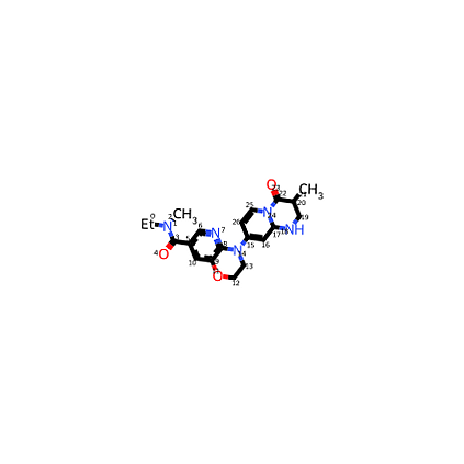 CCN(C)C(=O)c1cnc2c(c1)OCCN2C1=CC2NCC(C)C(=O)N2C=C1